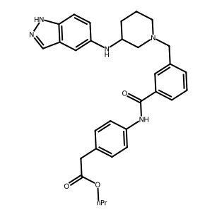 CCCOC(=O)Cc1ccc(NC(=O)c2cccc(CN3CCCC(Nc4ccc5[nH]ncc5c4)C3)c2)cc1